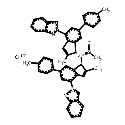 CC1=Cc2c(cc(-c3ccc(C)cc3)cc2-n2cc3ccccc3n2)[C@@H]1[Zr+2]([C@H]1C(C)=Cc2c1cc(-c1ccc(C)cc1)cc2-n1cc2ccccc2n1)=[Si](C)C.[Cl-].[Cl-]